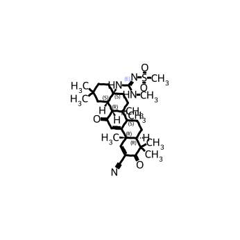 CN/C(=N\S(C)(=O)=O)N[C@]12CCC(C)(C)C[C@H]1[C@H]1C(=O)C=C3[C@@]4(C)C=C(C#N)C(=O)C(C)(C)[C@@H]4CC[C@@]3(C)[C@]1(C)CC2